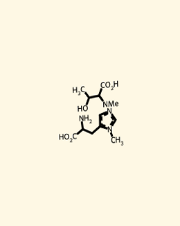 CNC(C(=O)O)C(C)O.Cn1cncc1CC(N)C(=O)O